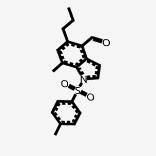 CCCc1cc(C)c2c(ccn2S(=O)(=O)c2ccc(C)cc2)c1C=O